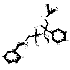 CC(=O)OCC(C)(c1ccccc1)N(C)C(C)(C)COCc1ccccc1